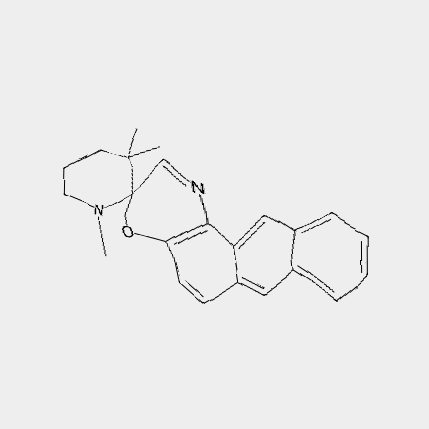 CN1CCCC(C)(C)C12C=Nc1c(ccc3cc4ccccc4cc13)O2